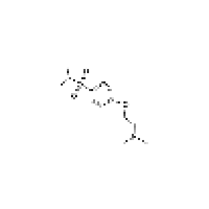 CC(C)S(=O)(=O)c1ccc(OCCN(C)C)cc1